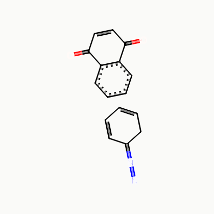 O=C1C=CC(=O)c2ccccc21.[N-]=[N+]=C1C=CC=CC1